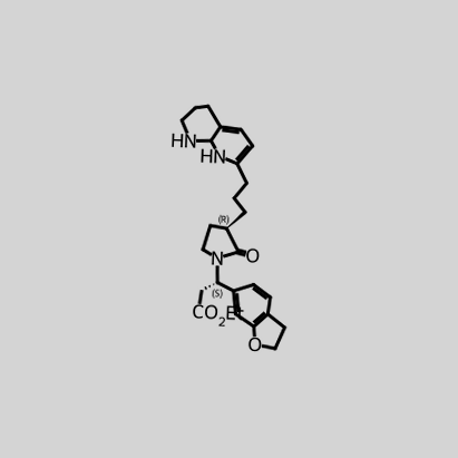 CCOC(=O)C[C@@H](c1ccc2c(c1)OCC2)N1CC[C@@H](CCCC2=CC=C3CCCNC3N2)C1=O